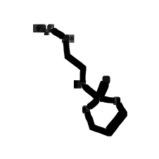 O=C(O)NCCNP1(=O)OC=CCO1